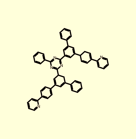 C1=CC(c2cc(-c3ccccc3)cc(-c3nc(-c4ccccc4)nc(C4C=C(c5ccc(-c6ccccn6)cc5)C=C(c5ccccc5)C4)n3)c2)CC=C1c1ccccn1